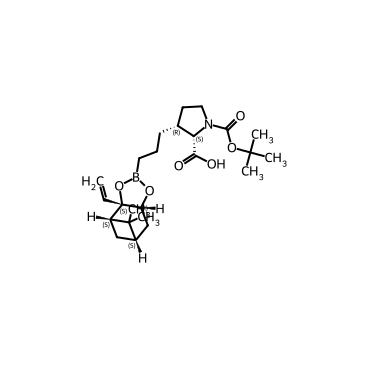 C=C[C@@]12OB(CCC[C@@H]3CCN(C(=O)OC(C)(C)C)[C@@H]3C(=O)O)O[C@@H]1C[C@@H]1C[C@H]2C1(C)C